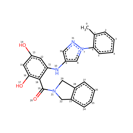 Cc1ccccc1-n1cc(Nc2cc(O)cc(O)c2C(=O)N2Cc3ccccc3C2)cn1